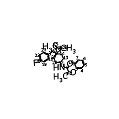 CC(Oc1ccccc1)C(=O)NC1CCC(Cc2ccc(F)cc2)(N(C)C)CC1